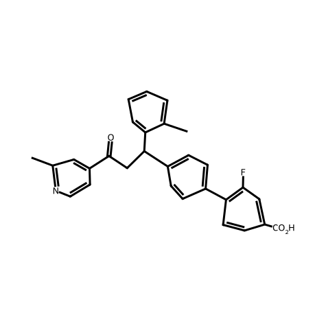 Cc1cc(C(=O)CC(c2ccc(-c3ccc(C(=O)O)cc3F)cc2)c2ccccc2C)ccn1